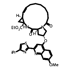 CCOC(=O)[C@@]12C[C@H]1/C=C\CCCCCCC(=O)N1C[C@H](Oc3cc(-c4nc(C(C)C)cs4)nc4cc(OC)ccc34)C[C@H]1C(=O)N2